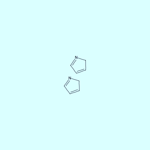 C1=CCN=C1.C1=CCN=C1